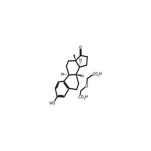 C[C@]12CC[C@@H]3c4ccc(O)cc4CC[C@H]3[C@@H]1CCC2=O.O=C(O)COCC(=O)O